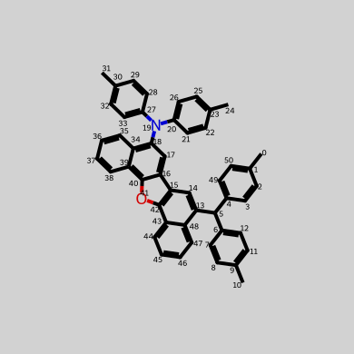 Cc1ccc(C(c2ccc(C)cc2)c2cc3c4cc(N(c5ccc(C)cc5)c5ccc(C)cc5)c5ccccc5c4oc3c3ccccc23)cc1